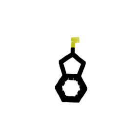 SC1Cc2ccccc2C1